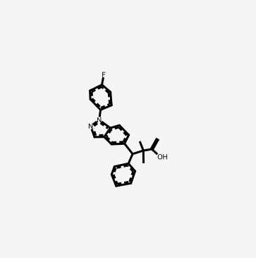 C=C(O)C(C)(C)C(c1ccccc1)c1ccc2c(cnn2-c2ccc(F)cc2)c1